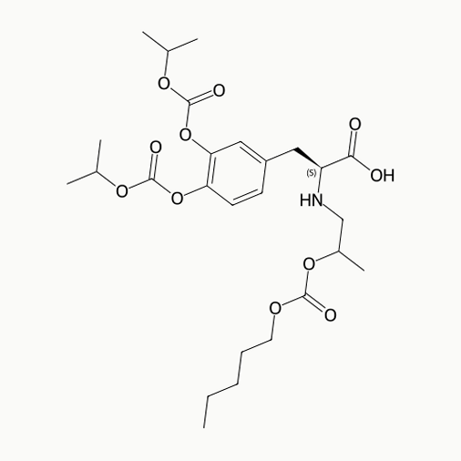 CCCCCOC(=O)OC(C)CN[C@@H](Cc1ccc(OC(=O)OC(C)C)c(OC(=O)OC(C)C)c1)C(=O)O